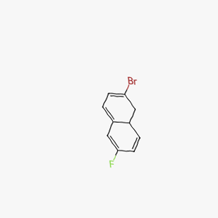 FC1=CC2=CC=C(Br)CC2C=C1